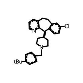 CC(C)(C)c1ccc(CN2CCC(=C3c4ccc(Cl)cc4CCc4cccnc43)CC2)cc1